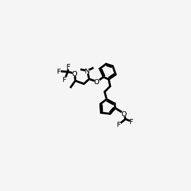 CC(CC(Oc1ccccc1CCc1cccc(OC(F)F)c1)N(C)C)OC(F)(F)F